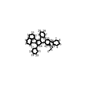 CCn1c2ccccc2c2ccc(-c3cc(-c4ccccc4)c4c(c3-c3ccccc3)-c3cccc5cccc-4c35)cc21